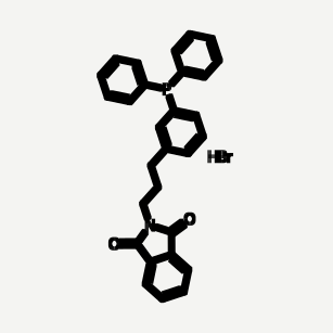 Br.O=C1c2ccccc2C(=O)N1CCCc1cccc(P(c2ccccc2)c2ccccc2)c1